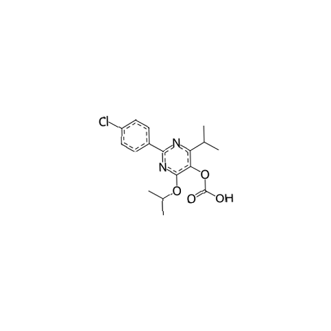 CC(C)Oc1nc(-c2ccc(Cl)cc2)nc(C(C)C)c1OC(=O)O